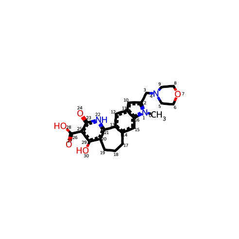 Cn1c(CN2CCOCC2)cc2cc3c(cc21)CCCc1c-3[nH]c(=O)c(C(=O)O)c1O